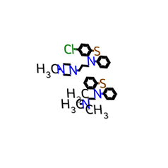 CC(CN1c2ccccc2Sc2ccccc21)N(C)C.CN1CCN(CCCN2c3ccccc3Sc3ccc(Cl)cc32)CC1